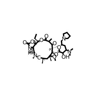 CC[C@H]1OC(=O)C(C)C(=O)[C@H](C)[C@@H](O[C@@H]2OC(CN3CCCC3)CC(N(C)C)C2O)[C@](C)(OC)C[C@@H](C)CN(C)[C@H](C)[C@H]2NC(=O)O[C@@]21C